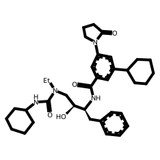 CCN(C[C@H](O)[C@H](Cc1ccccc1)NC(=O)c1cc(C2CCCCC2)cc(N2CCCC2=O)c1)C(=O)NC1CCCCC1